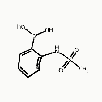 CS(=O)(=O)Nc1ccccc1B(O)O